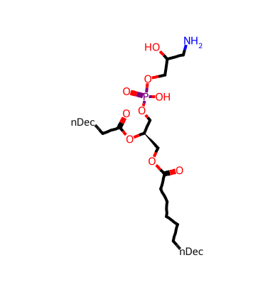 CCCCCCCCCCCCCCCC(=O)OC[C@H](COP(=O)(O)OCC(O)CN)OC(=O)CCCCCCCCCCC